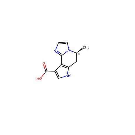 C[C@H]1Cc2[nH]cc(C(=O)O)c2-c2nccn21